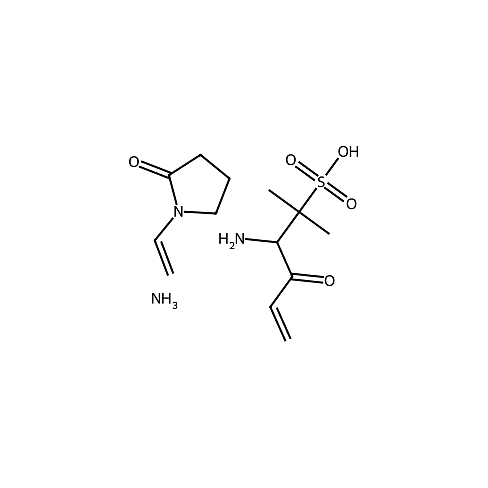 C=CC(=O)C(N)C(C)(C)S(=O)(=O)O.C=CN1CCCC1=O.N